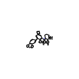 C/C(=C1/CCCNC1=O)c1cc(Cl)cc(-c2ccc3c(c2)OCO3)c1C